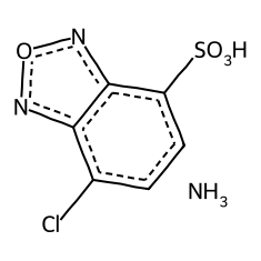 N.O=S(=O)(O)c1ccc(Cl)c2nonc12